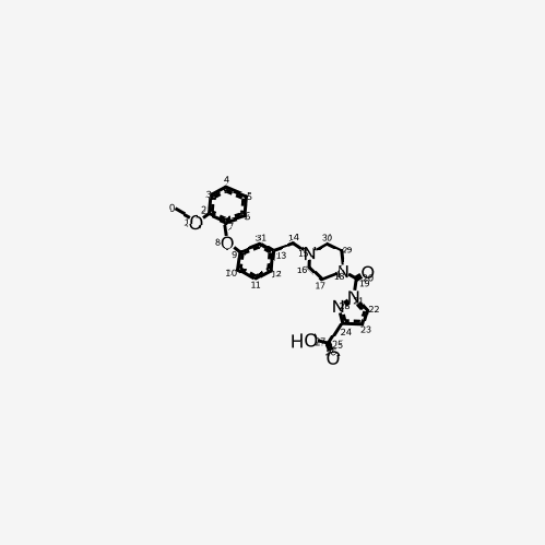 COc1ccccc1Oc1cccc(CN2CCN(C(=O)n3ccc(C(=O)O)n3)CC2)c1